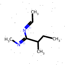 C/C=N/C(=N\C)C(C)CC